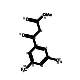 COC(=O)CC(=O)c1cc(C(F)(F)F)cc(C(F)(F)F)c1